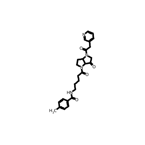 Cc1ccc(C(=O)NCCCCC(=O)N2CCC3C2C(=O)CN3C(=O)Cc2cccnc2)cc1